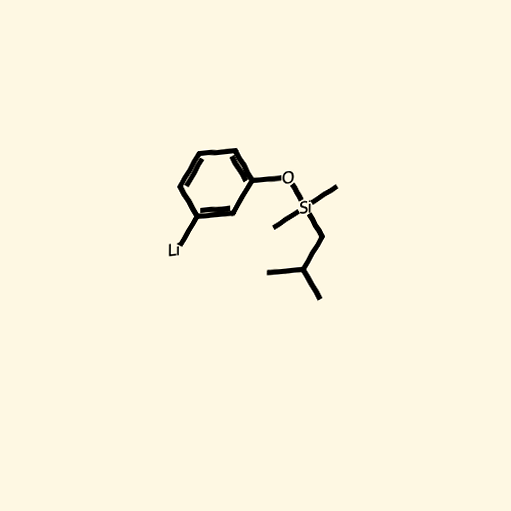 [Li][c]1cccc(O[Si](C)(C)CC(C)C)c1